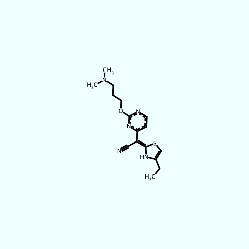 CCC1=CSC(=C(C#N)c2ccnc(OCCCN(C)C)n2)N1